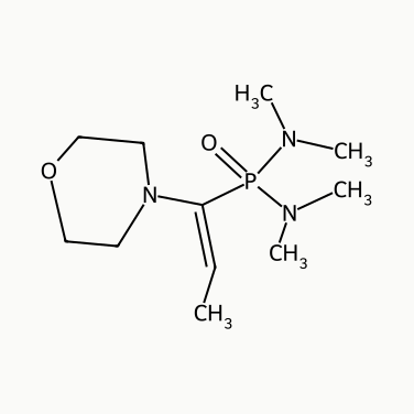 CC=C(N1CCOCC1)P(=O)(N(C)C)N(C)C